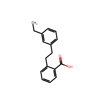 CCc1cccc(CCc2ccccc2C(=O)O)c1